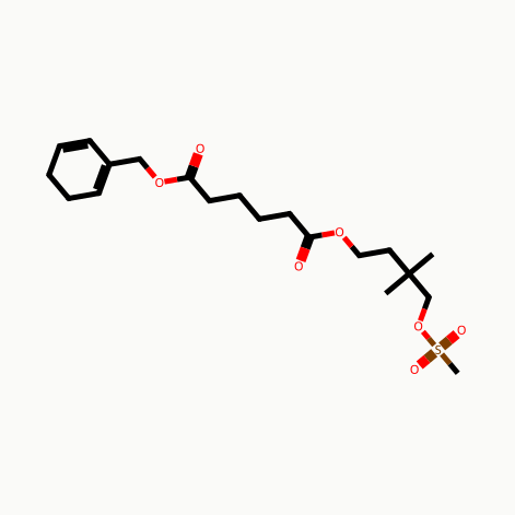 CC(C)(CCOC(=O)CCCCC(=O)OCC1=CCCC=C1)COS(C)(=O)=O